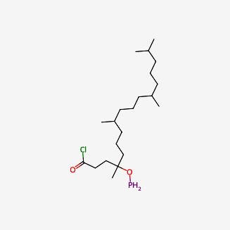 CC(C)CCCC(C)CCCC(C)CCCC(C)(CCC(=O)Cl)OP